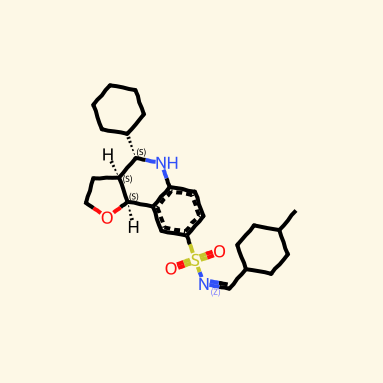 CC1CCC(/C=N\S(=O)(=O)c2ccc3c(c2)[C@H]2OCC[C@H]2[C@H](C2CCCCC2)N3)CC1